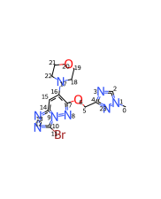 Cn1cnc(COc2nn3c(Br)nnc3cc2N2CCOCC2)n1